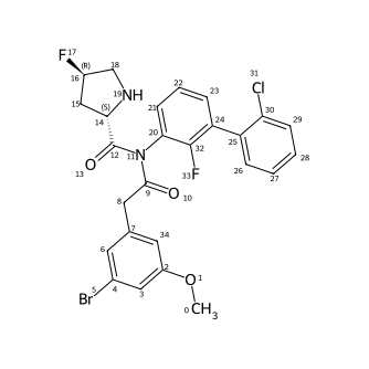 COc1cc(Br)cc(CC(=O)N(C(=O)[C@@H]2C[C@@H](F)CN2)c2cccc(-c3ccccc3Cl)c2F)c1